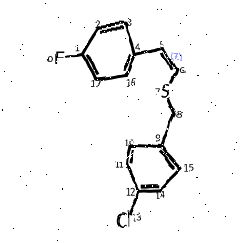 Fc1ccc(/C=C\SCc2ccc(Cl)cc2)cc1